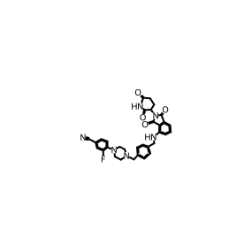 N#Cc1ccc(N2CCN(Cc3ccc(CNc4cccc5c4C(=O)N(C4CCC(=O)NC4=O)C5=O)cc3)CC2)c(F)c1